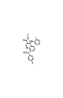 CCOC(=O)c1cnc2c(C(O)c3ccc(F)cc3)cccc2c1Nc1ccccc1C